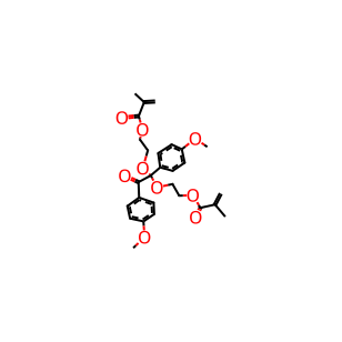 C=C(C)C(=O)OCCOC(OCCOC(=O)C(=C)C)(C(=O)c1ccc(OC)cc1)c1ccc(OC)cc1